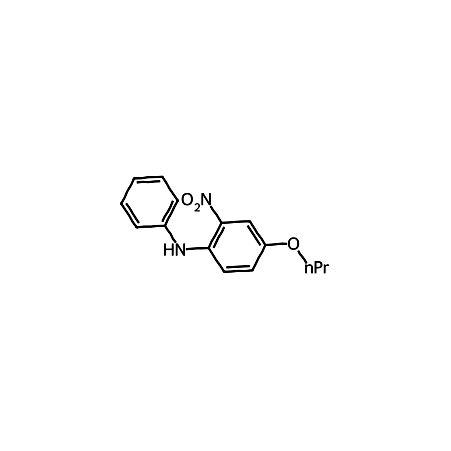 CCCOc1ccc(Nc2ccccc2)c([N+](=O)[O-])c1